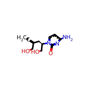 C=C=C(CO)C[C@H](CO)n1ccc(N)nc1=O